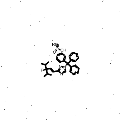 CC(C)C(F)(C=Cc1ncn(C(c2ccccc2)(c2ccccc2)c2ccccc2)n1)C(C)C.O=[PH](O)O